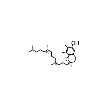 Cc1c(O)cc2c(c1C)O[C@](C)(CCC[C@@H](C)CCC[C@@H](C)CCCC(C)C)CC2